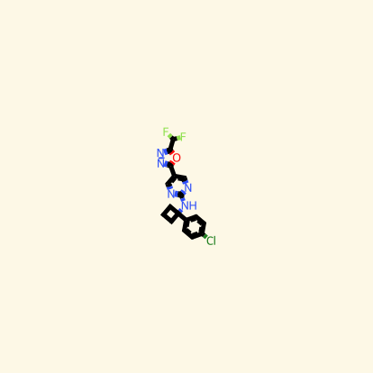 FC(F)c1nnc(-c2cnc(NC3(c4ccc(Cl)cc4)CCC3)nc2)o1